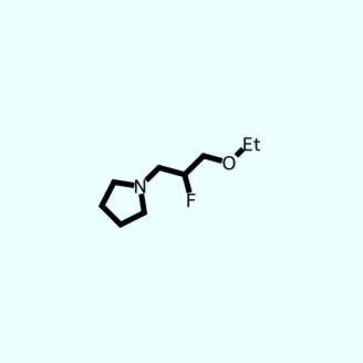 CCOCC(F)CN1CCCC1